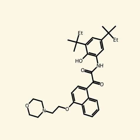 CCC(C)(C)c1cc(NC(=O)C(=O)c2ccc(OCCN3CCOCC3)c3ccccc23)c(O)c(C(C)(C)CC)c1